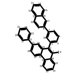 Ic1c(-c2cccc(-c3ccc4ccccc4c3)c2)c2cc(-c3ccccc3)ccc2c2ccccc12